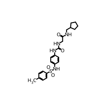 Cc1ccc(S(=O)(=O)Nc2ccc(NC(=O)NCC(=O)NCC3CCCC3)cc2)cc1